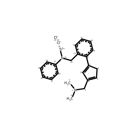 CN(C)CC1=CCC(c2ccccc2C[N]([Ti+2])c2ccccc2)=C1.[Cl-].[Cl-]